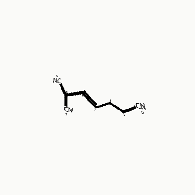 N#CCCC=CC(C#N)C#N